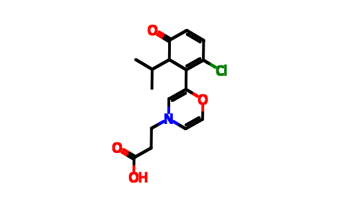 CC(C)C1C(=O)C=CC(Cl)=C1C1=CN(CCC(=O)O)C=CO1